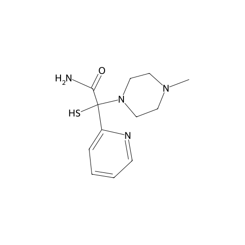 CN1CCN(C(S)(C(N)=O)c2ccccn2)CC1